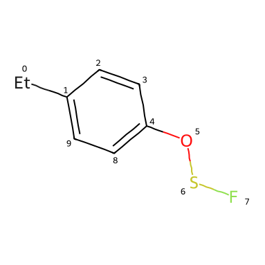 CCc1ccc(OSF)cc1